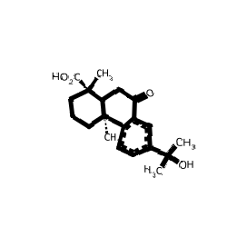 CC(C)(O)c1ccc2c(c1)C(=O)CC1[C@](C)(C(=O)O)CCC[C@]21C